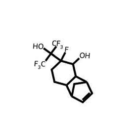 OC1C2C3C=CC(C3)C2CCC1(F)C(O)(C(F)(F)F)C(F)(F)F